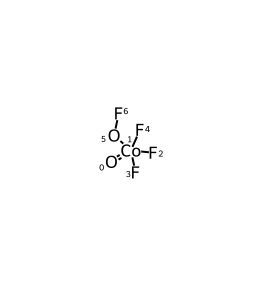 [O]=[Co]([F])([F])([F])[O]F